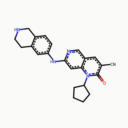 N#Cc1cc2cnc(Nc3ccc4c(c3)CCNC4)cc2n(C2CCCC2)c1=O